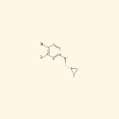 Clc1ccc(OC[C@@H]2CO2)cc1Cl